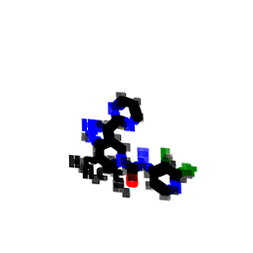 C[C@H]1c2n[nH]c(-c3ncccn3)c2CN(C(=O)Nc2ccnc(Br)c2F)C1(C)C